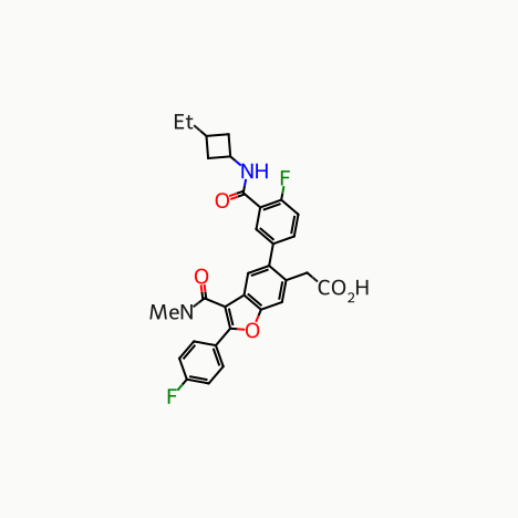 CCC1CC(NC(=O)c2cc(-c3cc4c(C(=O)NC)c(-c5ccc(F)cc5)oc4cc3CC(=O)O)ccc2F)C1